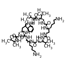 CC(C)NC(=O)N[C@H](CNC(=O)N[C@@H](CCCCN)CNC(=O)N[C@H](CNC(=O)N[C@@H](CCCCN)CNC(=O)N[C@H](CNC(=O)N[C@H](C)C(C)C)Cc1c[nH]c2ccccc12)C(C)C)C(C)C